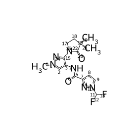 Cn1cc(NC(=O)c2ccn(C(F)F)n2)c(N2CCC(C)(C)C2=O)n1